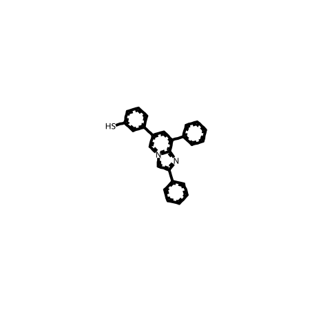 Sc1cccc(-c2cc(-c3ccccc3)c3nc(-c4ccccc4)cn3c2)c1